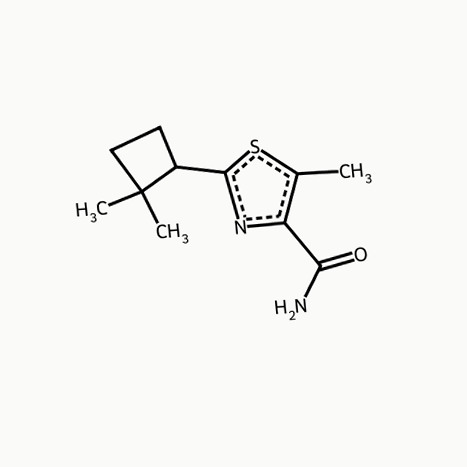 Cc1sc(C2CCC2(C)C)nc1C(N)=O